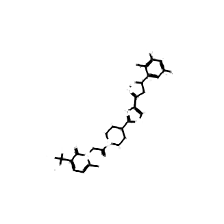 Cc1ccc(C(F)(F)F)c(=O)n1CC(=O)N1CCC(c2nc(C3=NOC(c4cc(Cl)cc(Cl)c4Cl)C3)cs2)CC1